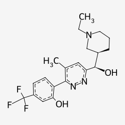 CCN1CCC[C@@H]([C@@H](O)c2cc(C)c(-c3ccc(C(F)(F)F)cc3O)nn2)C1